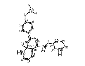 CN(C)Cc1ccc(C2=CC3(C)NC=CN=C3C(NC[C@@H]3CNCCO3)=N2)cc1